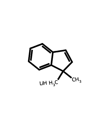 CC1(C)C=Cc2ccccc21.[LiH]